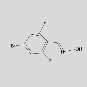 O/N=C/c1c(F)cc(Br)cc1F